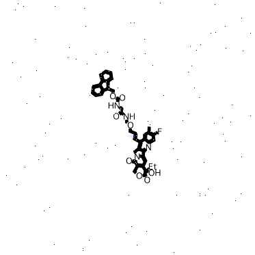 CC[C@@]1(O)C(=O)OCc2c1cc1n(c2=O)Cc2c-1nc1cc(F)c(C)cc1c2/C=C/COCNC(=O)CNC(=O)OCC1c2ccccc2-c2ccccc21